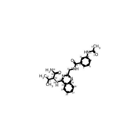 CC(=O)Nc1cccc(C(=O)NCc2nc(N[C@H](C(N)=O)C(C)C)c3ccccc3n2)c1